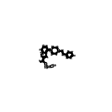 CC(O)c1cc2c(N3CCN(CCc4ccccc4)CC3)cccc2s1.Cl